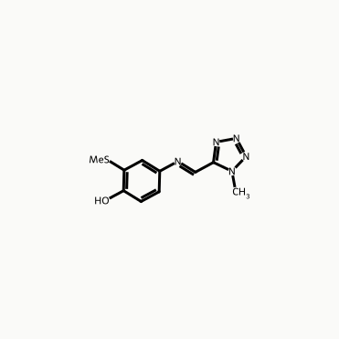 CSc1cc(N=Cc2nnnn2C)ccc1O